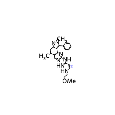 COCCN/C=C\C(=N)Nc1ncc2c(n1)-c1c(nn(C)c1-c1ccccc1)CC2C